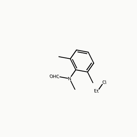 CCCl.Cc1cccc(C)c1N(C)C=O